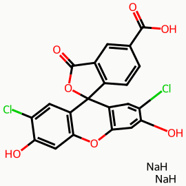 O=C(O)c1ccc2c(c1)C(=O)OC21c2cc(Cl)c(O)cc2Oc2cc(O)c(Cl)cc21.[NaH].[NaH]